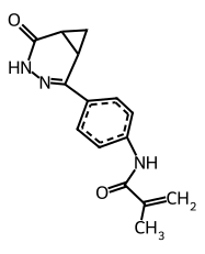 C=C(C)C(=O)Nc1ccc(C2=NNC(=O)C3CC23)cc1